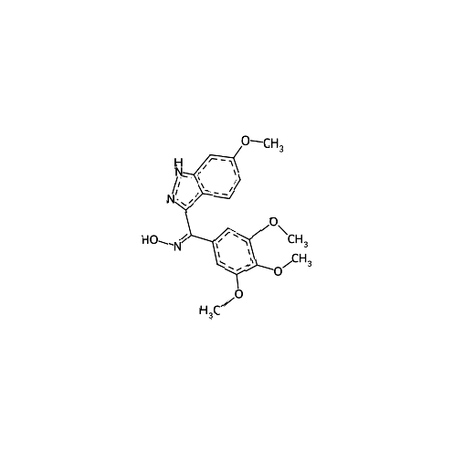 COc1ccc2c(/C(=N\O)c3cc(OC)c(OC)c(OC)c3)n[nH]c2c1